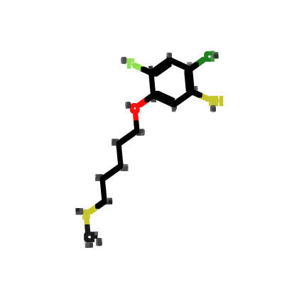 Fc1cc(Cl)c(S)cc1OCCCCCSC(F)(F)F